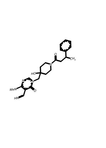 CNc1ncn(CC2(O)CCN(C(=O)CC(C)c3ccccc3)CC2)c(=O)c1C=N